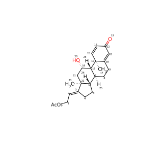 CC(=O)OCC=C1CC[C@H]2[C@@H]3CCC4=CC(=O)C=C[C@]4(C)[C@H]3[C@@H](O)C[C@]12C